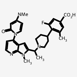 CNc1ccn(-c2ccnc3c2cc(C(C)N2CCC(c4c(C)cc(C(=O)O)cc4F)CC2)n3C)c(=O)c1